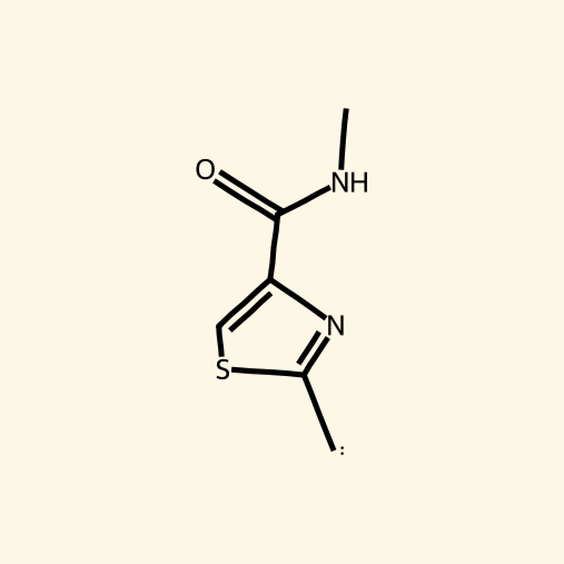 [CH]c1nc(C(=O)NC)cs1